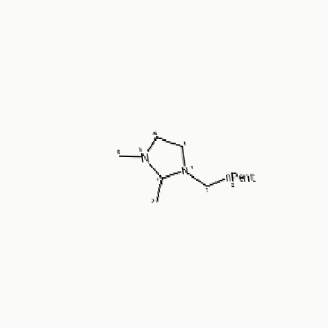 CCCCCCN1CCN(C)C1C